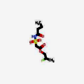 CCCC(=O)NS(=O)(=O)CC(=O)OCC(C)F